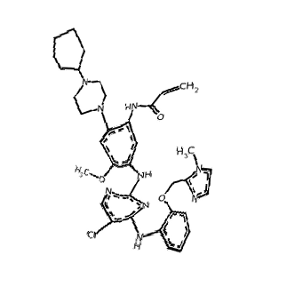 C=CC(=O)Nc1cc(Nc2ncc(Cl)c(Nc3ccccc3OCc3nccn3C)n2)c(OC)cc1N1CCN(C2CCCCC2)CC1